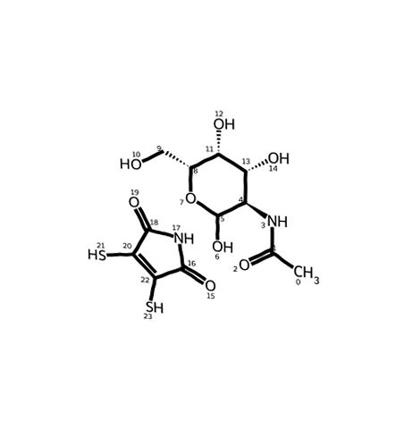 CC(=O)N[C@H]1C(O)O[C@H](CO)[C@H](O)[C@@H]1O.O=C1NC(=O)C(S)=C1S